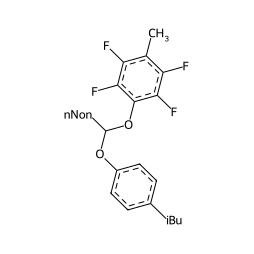 CCCCCCCCCC(Oc1ccc(C(C)CC)cc1)Oc1c(F)c(F)c(C)c(F)c1F